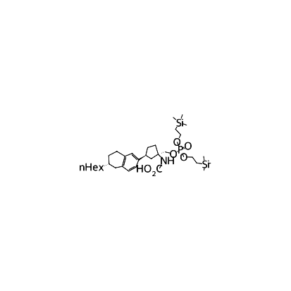 CCCCCC[C@@H]1CCc2cc([C@H]3CC[C@@](COP(=O)(OCC[Si](C)(C)C)OCC[Si](C)(C)C)(NC(=O)O)C3)ccc2C1